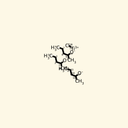 CCCC(C)[O-].CCCC(C)[O-].CCCC(C)[O-].[Cl][Ti+3]